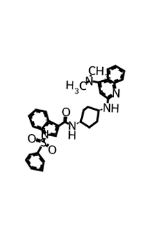 CN(C)c1cc(N[C@H]2CC[C@@H](NC(=O)c3cn(S(=O)(=O)c4ccccc4)c4ccccc34)CC2)nc2ccccc12